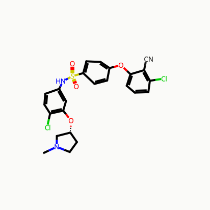 CN1CC[C@@H](Oc2cc(NS(=O)(=O)c3ccc(Oc4cccc(Cl)c4C#N)cc3)ccc2Cl)C1